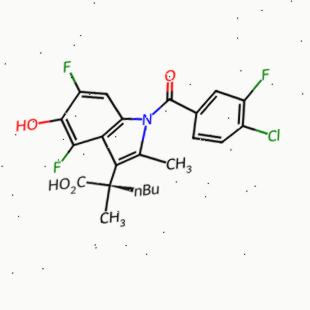 CCCC[C@@](C)(C(=O)O)c1c(C)n(C(=O)c2ccc(Cl)c(F)c2)c2cc(F)c(O)c(F)c12